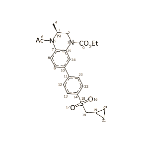 CCOC(=O)N1C[C@H](C)N(C(C)=O)c2ccc(-c3ccc(S(=O)(=O)CC4CC4)cc3)cc21